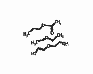 CCCOC(C)=O.CCOCC.OCCOCCO